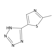 Cc1ncc(-c2nnn[nH]2)s1